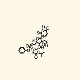 CC(C)OC(=O)[C@H](C)NP(=O)(OC[C@@]1(F)O[C@@H](n2ccc(=O)[nH]c2=S)[C@@](O)(CF)C1O)Oc1ccccc1